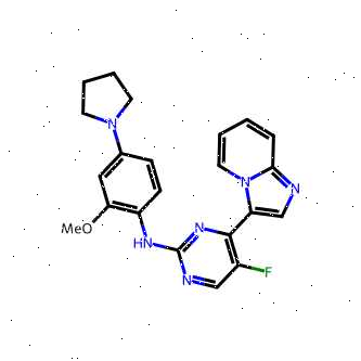 COc1cc(N2CCCC2)ccc1Nc1ncc(F)c(-c2cnc3ccccn23)n1